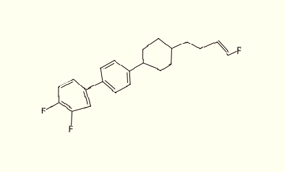 FC=CCCC1CCC(c2ccc(-c3ccc(F)c(F)c3)cc2)CC1